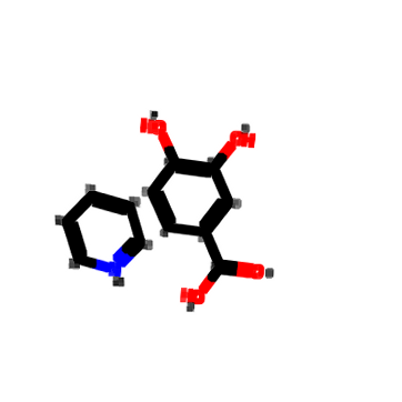 O=C(O)c1ccc(O)c(O)c1.c1ccncc1